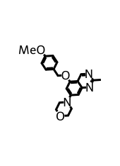 COc1ccc(COc2cc(N3CCOCC3)cc3nc(C)ncc23)cc1